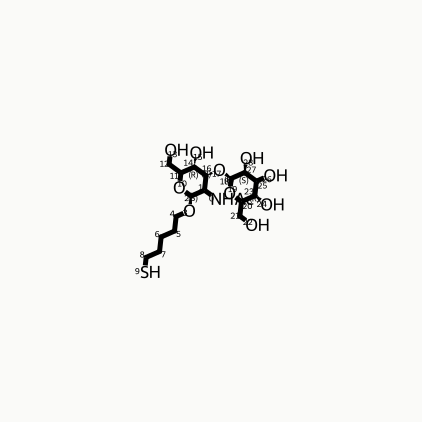 CC(=O)NC1[C@@H](OCCCCCS)OC(CO)[C@H](O)[C@@H]1O[C@@H]1OC(CO)[C@H](O)C(O)[C@@H]1O